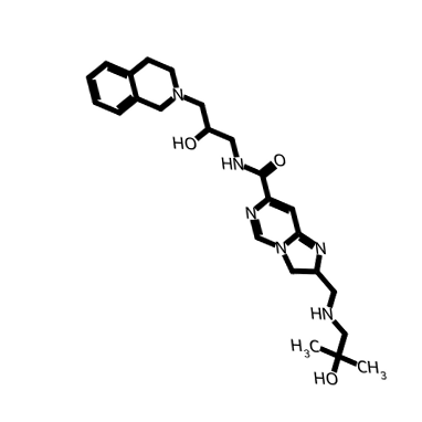 CC(C)(O)CNCC1CN2C=NC(C(=O)NCC(O)CN3CCc4ccccc4C3)=CC2=N1